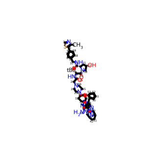 Cc1ncsc1-c1ccc(CNC(=O)[C@@H]2C[C@@H](O)CN2C(=O)C(NC(=O)CN2CCN([C@H]3CC[C@@H](c4cnc(N5C6CCC5CN(c5cc(-c7ccccc7O)nnc5N)C6)nc4)CC3)CC2)C(C)(C)C)cc1